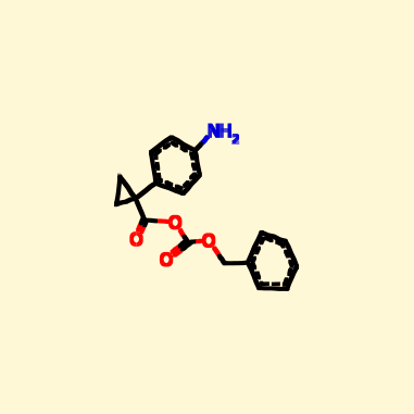 Nc1ccc(C2(C(=O)OC(=O)OCc3ccccc3)CC2)cc1